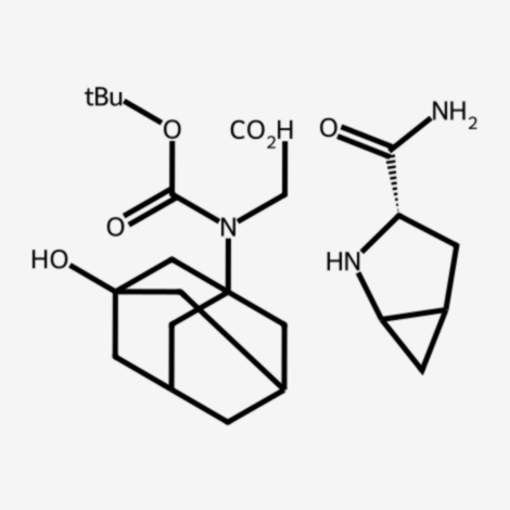 CC(C)(C)OC(=O)N(CC(=O)O)C12CC3CC(CC(O)(C3)C1)C2.NC(=O)[C@@H]1CC2CC2N1